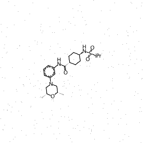 CC(C)S(=O)(=O)N[C@H]1CC[C@H](C(=O)Nc2cccc(N3C[C@@H](C)O[C@@H](C)C3)c2)CC1